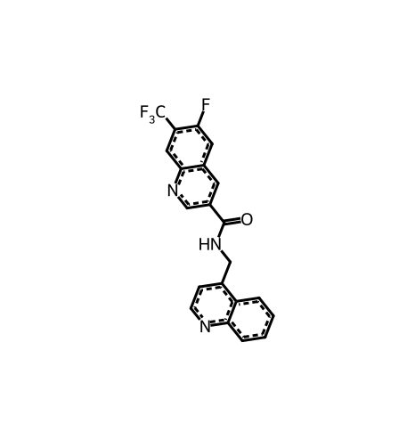 O=C(NCc1ccnc2ccccc12)c1cnc2cc(C(F)(F)F)c(F)cc2c1